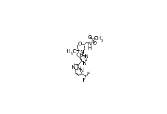 CC1(C)COC(CNS(C)(=O)=O)CN1c1cc(-c2cnc3ccc(C(F)F)nn23)ncn1